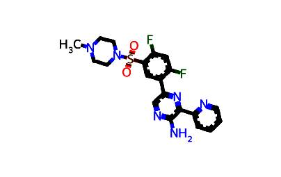 CN1CCN(S(=O)(=O)c2cc(-c3cnc(N)c(-c4ccccn4)n3)c(F)cc2F)CC1